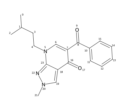 CC(C)CCn1cc(C(=O)c2ccccc2)c(=O)c2cn(C)nc21